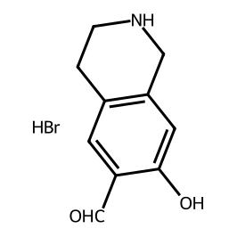 Br.O=Cc1cc2c(cc1O)CNCC2